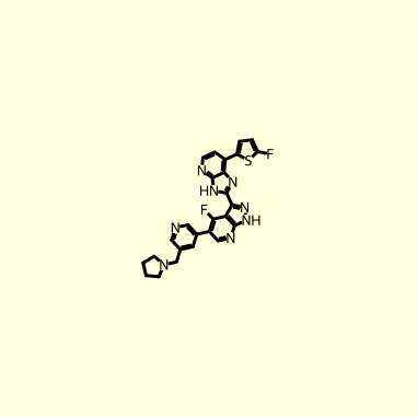 Fc1ccc(-c2ccnc3[nH]c(-c4n[nH]c5ncc(-c6cncc(CN7CCCC7)c6)c(F)c45)nc23)s1